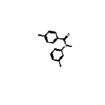 [CH2]c1ccc(C(=O)N(C)c2cccc(C)c2)cc1